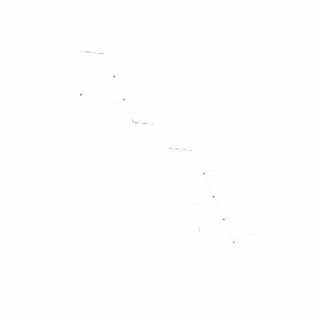 CCC(C)(C)C(C)(CC(C)(C)C)C(=O)OCCC(F)(F)C(F)(F)C(F)(F)C(F)(F)F